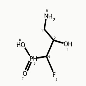 NCC(O)C(F)[PH](=O)O